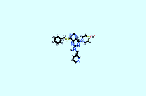 CN(Cc1cccnc1)c1nc(N2CC[S+]([O-])CC2)c2ncnc(SCc3ccccc3)c2n1